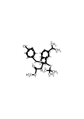 COC(=O)Cc1c(SC(C)(C)C)c2cc(C(C)C)ccc2n1Cc1ccc(Cl)cc1